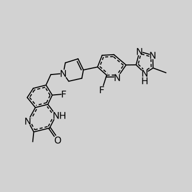 Cc1nnc(-c2ccc(C3=CCN(Cc4ccc5nc(C)c(=O)[nH]c5c4F)CC3)c(F)n2)[nH]1